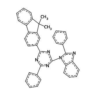 CC1(C)c2ccccc2-c2ccc(-c3nc(-c4ccccc4)nc(-n4c(-c5ccccc5)nc5ccccc54)n3)cc21